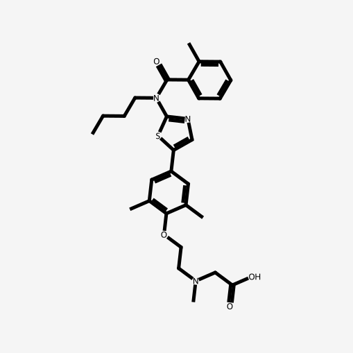 CCCCN(C(=O)c1ccccc1C)c1ncc(-c2cc(C)c(OCCN(C)CC(=O)O)c(C)c2)s1